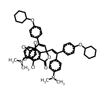 CN(C)c1ccc(/C(=C\C2(/C=C(/c3ccc(OC4CCCCC4)cc3)c3ccc(N(C)C)cc3)OC(=O)c3c(Cl)c(Cl)c(Cl)c(Cl)c32)c2ccc(OC3CCCCC3)cc2)cc1